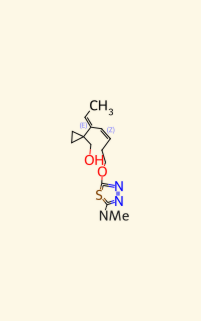 C/C=C(\C=C/CCOc1nnc(NC)s1)C1(CO)CC1